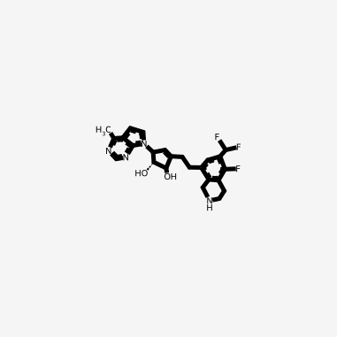 Cc1ncnc2c1ccn2C1C=C(CCc2cc(C(F)F)c(F)c3c2CNCC3)C(O)[C@@H]1O